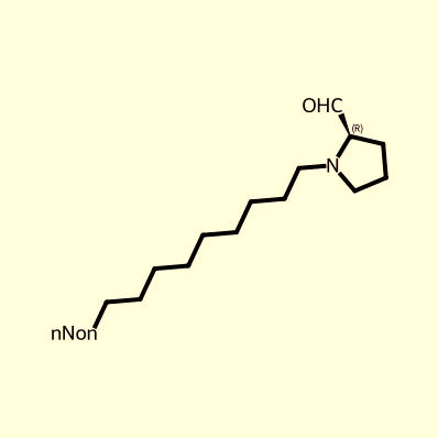 CCCCCCCCCCCCCCCCCCN1CCC[C@@H]1C=O